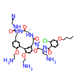 CCCCOc1ccc(C(=O)N[C@@H](CCN)C(=O)N(C)[C@@H]2C(=O)N[C@@H](C)C(=O)N[C@H](C(=O)NCC#N)Cc3ccc(OCCN)c(c3)-c3cc2ccc3OCCN)c(Cl)c1